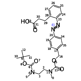 CN(CCN(C)C(=O)OC(C)(C)C)C(=O)OCc1ccc(/N=N/c2ccccc2CCC(=O)O)cc1